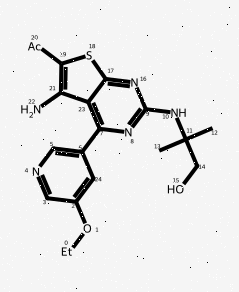 CCOc1cncc(-c2nc(NC(C)(C)CO)nc3sc(C(C)=O)c(N)c23)c1